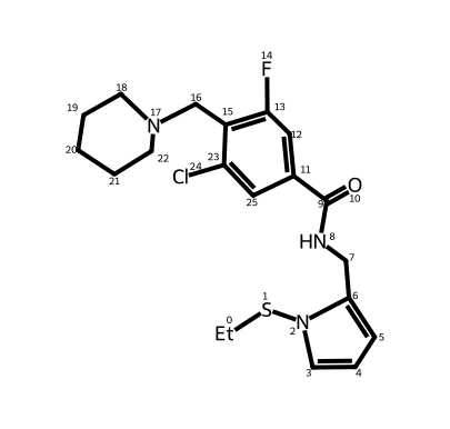 CCSn1cccc1CNC(=O)c1cc(F)c(CN2CCCCC2)c(Cl)c1